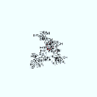 CC(=O)NC1C(O)[C@H](O[C@@H]2OC3CC(O)(O)[C@@H]3[C@H](O[C@]3(OC=O)C[C@@H](O)[C@@H](C)C([C@H](O)[C@H](O)CO)O3)C2O)[C@H](CO)O[C@H]1OCCC1[C@@H](OCC2O[C@@H](O[C@@H]3C(CO)O[C@@H](O[C@@H]4C(CO)O[C@@H](C)C(NC(C)=O)[C@H]4O)C(NC(C)=O)[C@H]3O)C(O)[C@@H](O[C@H]3OC(CO)[C@@H](O)C(O)C3O[C@@H]3OC(CO)[C@@H](O[C@@H]4OC5[C@@H]([C@H](O)C4O)C5(O)O[C@]4(OC=O)C[C@@H](O)[C@@H](C)C([C@H](O)[C@H](O)CO)O4)[C@H](O)C3NC(C)=O)[C@@H]2O)OC(CO)[C@@H](O)[C@@H]1O